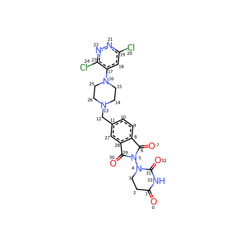 O=C1CCN(N2C(=O)c3ccc(CN4CCN(c5cc(Cl)nnc5Cl)CC4)cc3C2=O)C(=O)N1